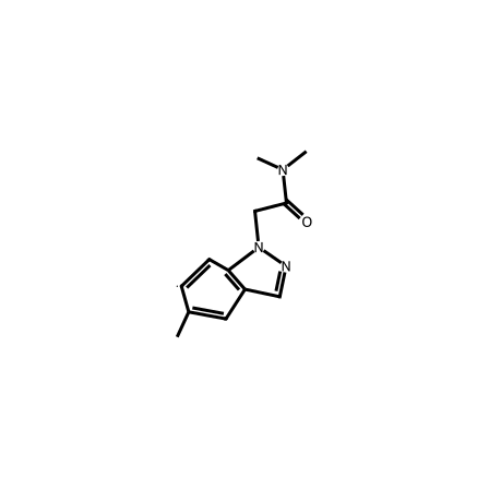 Cc1[c]cc2c(cnn2CC(=O)N(C)C)c1